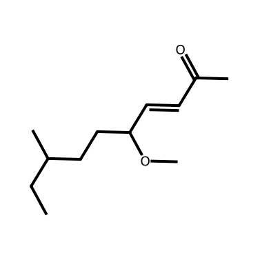 CCC(C)CCC(C=CC(C)=O)OC